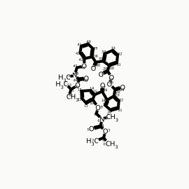 CC(C)OC(=O)N(C)COc1ccccc1C(=O)c1ccccc1C(=O)OOC(=O)c1ccccc1C(=O)c1ccccc1OCN(C)C(=O)OC(C)C